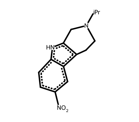 CC(C)N1CCc2c([nH]c3ccc([N+](=O)[O-])cc23)C1